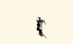 CN/C(=C\C(=N)C1CC1)C(=O)NCc1ccc(OCc2cccc(C(=O)N3CCN(S(C)(=O)=O)CC3)c2)c(Cl)c1